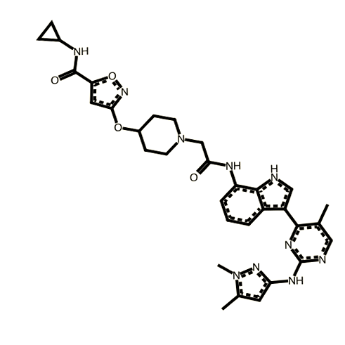 Cc1cnc(Nc2cc(C)n(C)n2)nc1-c1c[nH]c2c(NC(=O)CN3CCC(Oc4cc(C(=O)NC5CC5)on4)CC3)cccc12